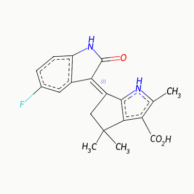 Cc1[nH]c2c(c1C(=O)O)C(C)(C)C/C2=C1/C(=O)Nc2ccc(F)cc21